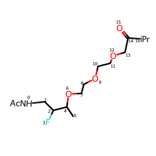 CC(=O)NCC(F)C(C)OCCOCCOCC(=O)C(C)C